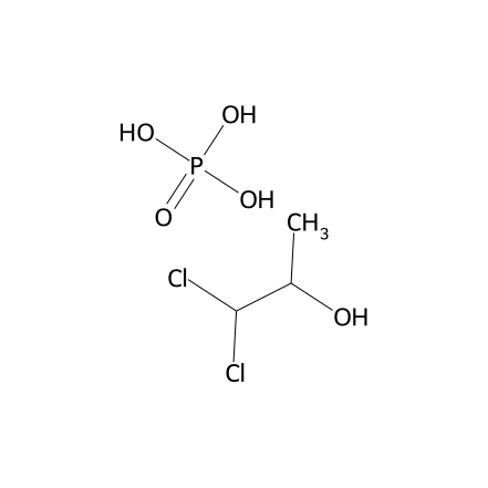 CC(O)C(Cl)Cl.O=P(O)(O)O